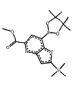 COC(=O)c1cc(B2OC(C)(C)C(C)(C)O2)c2oc([Si](C)(C)C)cc2n1